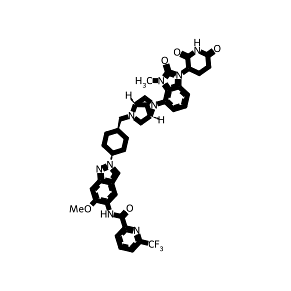 COc1cc2nn([C@H]3CC[C@H](CN4C[C@H]5C[C@@H]4CN5c4cccc5c4n(C)c(=O)n5C4CCC(=O)NC4=O)CC3)cc2cc1NC(=O)c1cccc(C(F)(F)F)n1